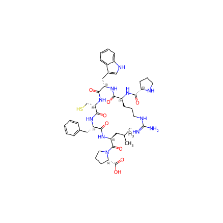 CC(C)C[C@H](NC(=O)[C@H](Cc1ccccc1)NC(=O)[C@H](CS)NC(=O)[C@H](Cc1c[nH]c2ccccc12)NC(=O)[C@H](CCCNC(=N)N)NC(=O)[C@@H]1CCCN1)C(=O)N1CCC[C@H]1C(=O)O